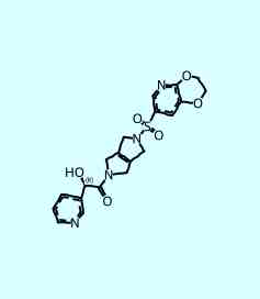 O=C([C@H](O)c1cccnc1)N1CC2=C(C1)CN(S(=O)(=O)c1cnc3c(c1)OCCO3)C2